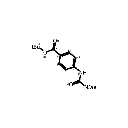 CNC(=O)Nc1ccc(C(=O)OC(C)(C)C)cc1